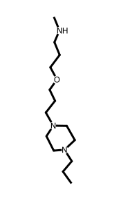 CCCN1CCN(CCCOCCCNC)CC1